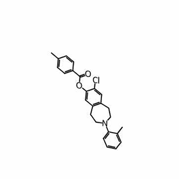 Cc1ccc(C(=O)Oc2cc3c(cc2Cl)CCN(c2ccccc2C)CC3)cc1